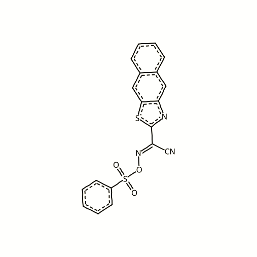 N#C/C(=N\OS(=O)(=O)c1ccccc1)c1nc2cc3ccccc3cc2s1